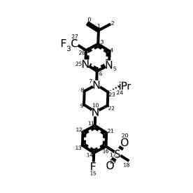 C=C(C)c1cnc(N2CCN(c3ccc(F)c(S(C)(=O)=O)c3)C[C@H]2C(C)C)nc1C(F)(F)F